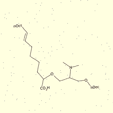 CCCCCCCCC=CCCCCC(OCC(COCCCCCCCCCC)N(C)C)C(=O)O